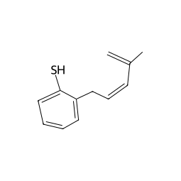 C=C(C)/C=C\Cc1ccccc1S